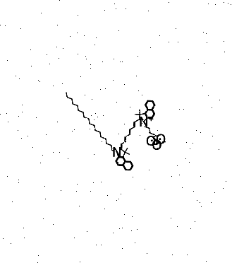 CCCCCCCCCCCCCCCCCCN1/C(=C/C=C/C=C/C=C/C2=[N+](CCCCS(=O)(=O)[O-])c3ccc4ccccc4c3C2(C)C)C(C)(C)c2c1ccc1ccccc21